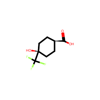 O=C(O)[C@H]1CC[C@](O)(C(F)(F)F)CC1